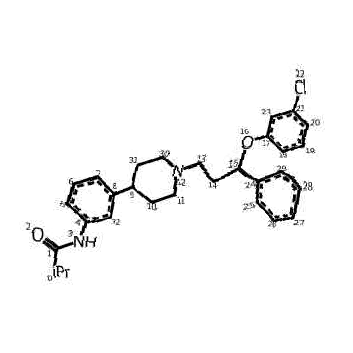 CC(C)C(=O)Nc1cccc(C2CCN(CCC(Oc3cccc(Cl)c3)c3ccccc3)CC2)c1